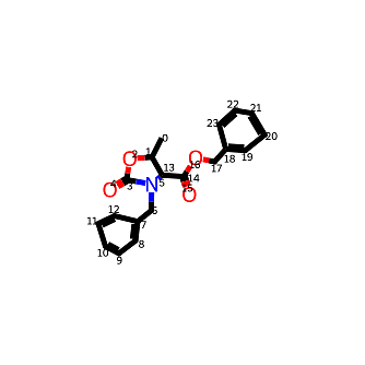 CC1OC(=O)N(Cc2ccccc2)C1C(=O)OCc1ccccc1